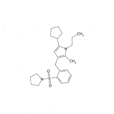 CCCn1c(C2CCCC2)cc(Cc2ccccc2S(=O)(=O)N2CCCC2)c1C